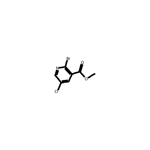 COC(=O)c1cc(Cl)cnc1Br